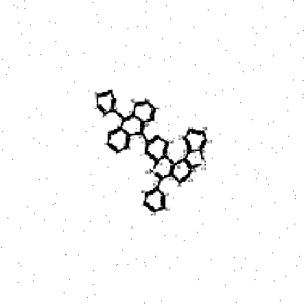 c1ccc(-c2c3ccccc3c(-c3ccc4c(c3)nc(-c3ccccc3)c3ccc5oc6ccccc6c5c34)c3ccccc23)cc1